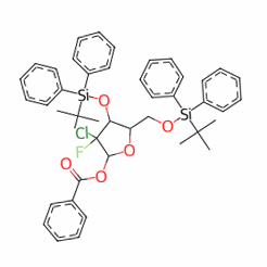 CC(C)(C)[Si](OCC1OC(OC(=O)c2ccccc2)C(F)(Cl)C1O[Si](c1ccccc1)(c1ccccc1)C(C)(C)C)(c1ccccc1)c1ccccc1